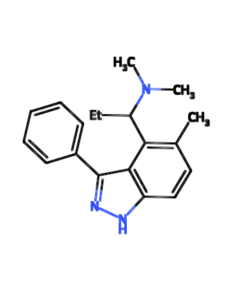 CCC(c1c(C)ccc2[nH]nc(-c3ccccc3)c12)N(C)C